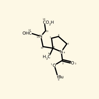 CC(C)(C)OC(=O)N1CCCC1(C)CN(C=O)CC(=O)O